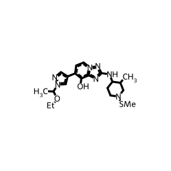 CCOC(C)n1cc(-c2ccn3nc(NC4CCN(SC)CC4C)nc3c2O)cn1